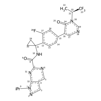 CC(C)n1ncc2cnc(C(=O)NC3(c4ccc(-c5cncn([C@@H](C)C(F)(F)F)c5=O)cc4F)CC3)nc21